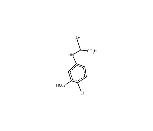 CC(=O)C(Nc1ccc(Cl)c(S(=O)(=O)O)c1)C(=O)O